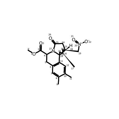 COC(=O)C1Cc2cc(C)c(C)cc2C23C[C@H](C)[C@@H](C[N+](=O)[O-])[C@@H]2CC(=O)N13